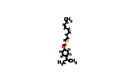 C=C/C=C\C=C/C/C=C/SOc1ccc(C(C)C)cc1